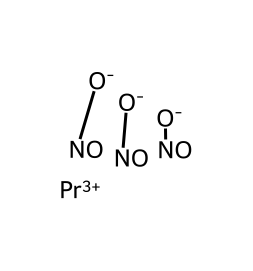 O=N[O-].O=N[O-].O=N[O-].[Pr+3]